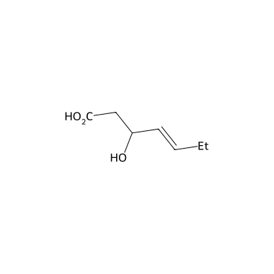 CCC=CC(O)CC(=O)O